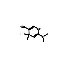 CCCCC1=CNC(N(C)C)=NC1(C)O